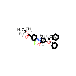 CC(C)(C)OC(=O)c1ccc(N2C(=O)[C@@H]3C[C@H]2C[C@H]3O[Si](c2ccccc2)(c2ccccc2)C(C)(C)C)c(F)c1